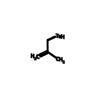 C=C(C)C[TeH]